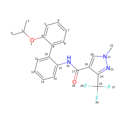 CC(C)Oc1ccccc1-c1ccccc1NC(=O)c1cn(C)nc1C(F)(F)F